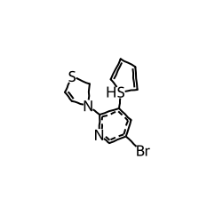 Brc1cnc(N2C=CSC2)c([SH]2C=CC=C2)c1